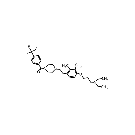 CCN(CC)CCCOc1ccc(CCN2CCN(C(=O)c3ccc(C(F)(F)F)cc3)CC2)c(C)c1C